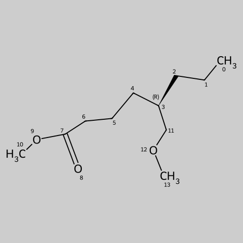 CCC[C@H](CCCC(=O)OC)COC